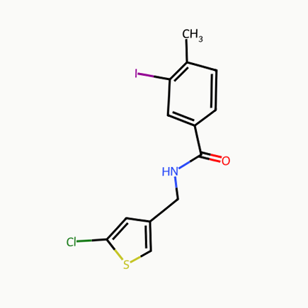 Cc1ccc(C(=O)NCc2csc(Cl)c2)cc1I